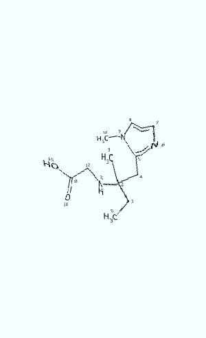 CCC(C)(Cc1nccn1C)NCC(=O)O